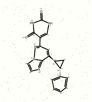 O=c1[nH]cc(-c2cc([C@H]3C[C@@H]3c3ccccc3)c3nccn3n2)c(=O)[nH]1